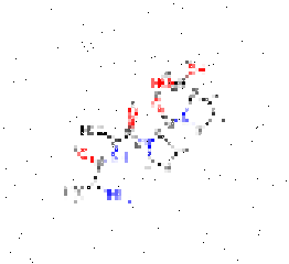 C[C@H](N)C(=O)N[C@@H](C)C(=O)N1CCC[C@H]1C(=O)N1CCC[C@H]1B(O)O